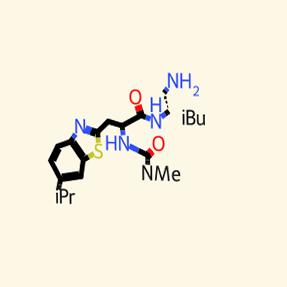 CC[C@H](C)[C@@H](CN)NC(=O)C(Cc1nc2ccc(C(C)C)cc2s1)NC(=O)NC